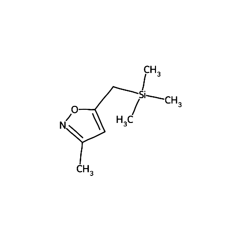 Cc1cc(C[Si](C)(C)C)on1